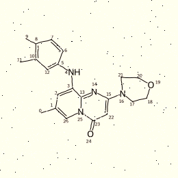 Cc1cc(Nc2ccc(C)c(C)c2)c2nc(N3CCOCC3)cc(=O)n2c1